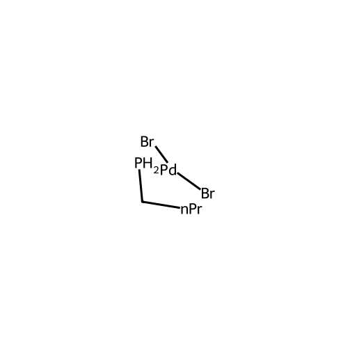 CCCCP.[Br][Pd][Br]